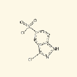 O=S(=O)(Cl)c1ccc2[nH]nc(Cl)c2c1